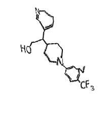 OCC(c1cccnc1)C1CCN(c2ccc(C(F)(F)F)nc2)CC1